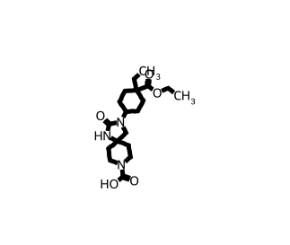 CCOC(=O)C1(CC)CCC(N2CC3(CCN(C(=O)O)CC3)NC2=O)CC1